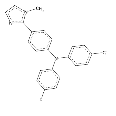 Cn1ccnc1-c1ccc(N(c2ccc(F)cc2)c2ccc(Cl)cc2)cc1